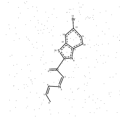 C=C(/C=N\C=C/C)c1nc2ccc(Br)cc2s1